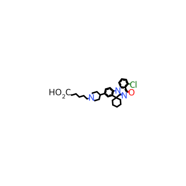 O=C(O)CCCCCN1CCC(c2ccc3c(c2)C2(CCCCC2)c2nc(=O)c4c(Cl)cccc4n2-3)CC1